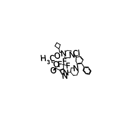 CCOC(=O)c1cnn(C2CCCN(C3=C(c4ccccc4)C=CC(Cl)(N4CCN(C(=O)C5CCC5)CC4)C3)C2)c1C(F)(F)F